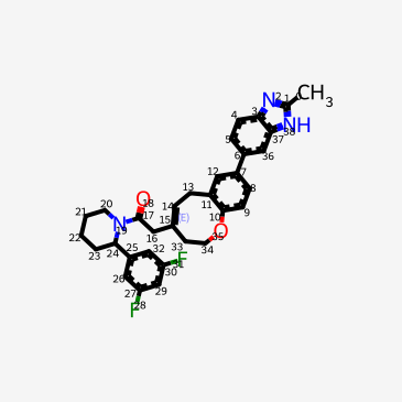 Cc1nc2ccc(-c3ccc4c(c3)C/C=C(/CC(=O)N3CCCCC3c3cc(F)cc(F)c3)CCO4)cc2[nH]1